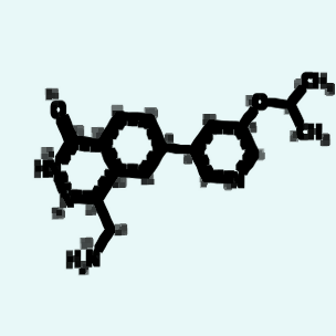 CC(C)Oc1cncc(-c2ccc3c(=O)[nH]nc(CN)c3c2)c1